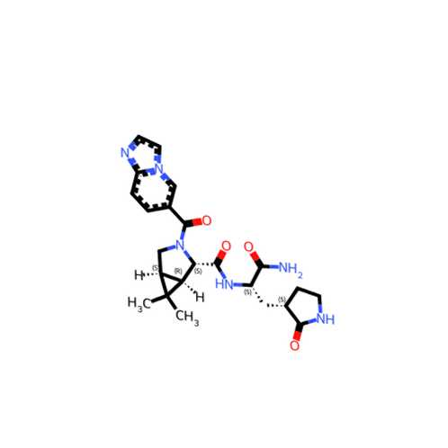 CC1(C)[C@@H]2[C@@H](C(=O)N[C@@H](C[C@@H]3CCNC3=O)C(N)=O)N(C(=O)c3ccc4nccn4c3)C[C@@H]21